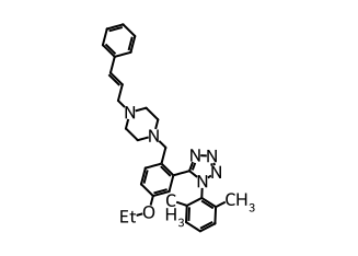 CCOc1ccc(CN2CCN(CC=Cc3ccccc3)CC2)c(-c2nnnn2-c2c(C)cccc2C)c1